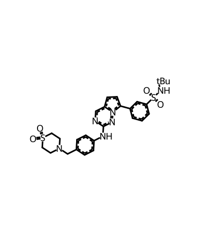 CC(C)(C)NS(=O)(=O)c1cccc(-c2ccc3cnc(Nc4ccc(CN5CCS(=O)(=O)CC5)cc4)nn23)c1